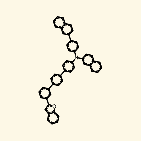 c1cc(-c2ccc(-c3ccc(N(c4ccc(-c5ccc6ccccc6c5)cc4)c4ccc5ccccc5c4)cc3)cc2)cc(-c2cc3ccccc3o2)c1